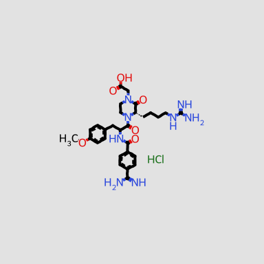 COc1ccc(CC(NC(=O)c2ccc(C(=N)N)cc2)C(=O)N2CCN(CC(=O)O)C(=O)[C@@H]2CCCCNC(=N)N)cc1.Cl